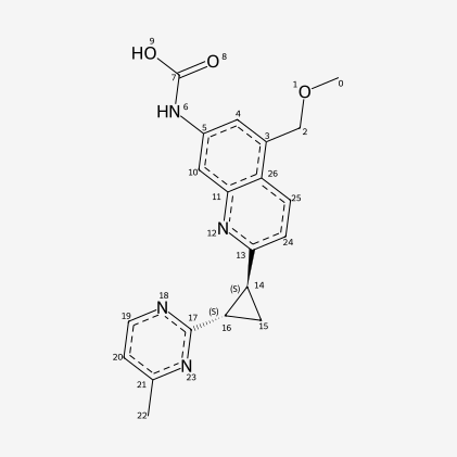 COCc1cc(NC(=O)O)cc2nc([C@H]3C[C@@H]3c3nccc(C)n3)ccc12